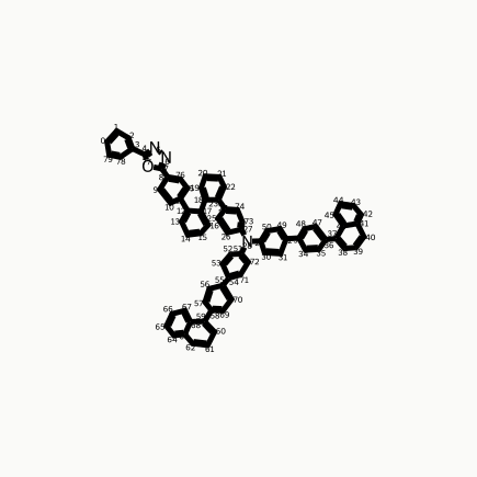 c1ccc(-c2nnc(-c3ccc(-c4ccccc4-c4ccccc4-c4ccc(N(c5ccc(-c6ccc(-c7cccc8ccccc78)cc6)cc5)c5ccc(-c6ccc(-c7cccc8ccccc78)cc6)cc5)cc4)cc3)o2)cc1